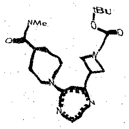 CNC(=O)C1CCN(c2nccnc2C2CN(C(=O)OC(C)(C)C)C2)CC1